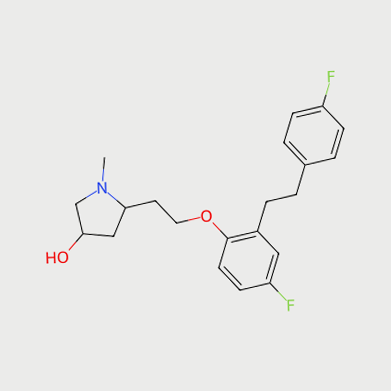 CN1CC(O)CC1CCOc1ccc(F)cc1CCc1ccc(F)cc1